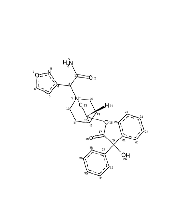 NC(=O)C(c1ccon1)[N+]12CCC(CC1)[C@@H](OC(=O)C(O)(c1ccccc1)c1ccccc1)C2